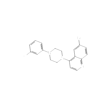 FC(F)(F)c1cccc(N2CCN(c3ccnc4ccc(Br)cc34)CC2)c1